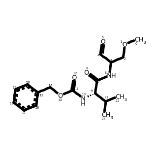 COCC(C=O)NC(=O)[C@@H](NC(=O)OCc1ccccc1)C(C)C